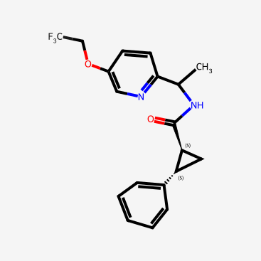 CC(NC(=O)[C@H]1C[C@@H]1c1ccccc1)c1ccc(OCC(F)(F)F)cn1